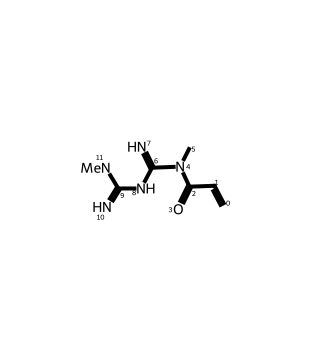 C=CC(=O)N(C)C(=N)NC(=N)NC